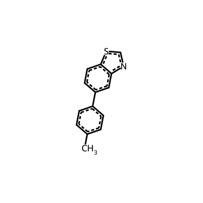 Cc1ccc(-c2ccc3scnc3c2)cc1